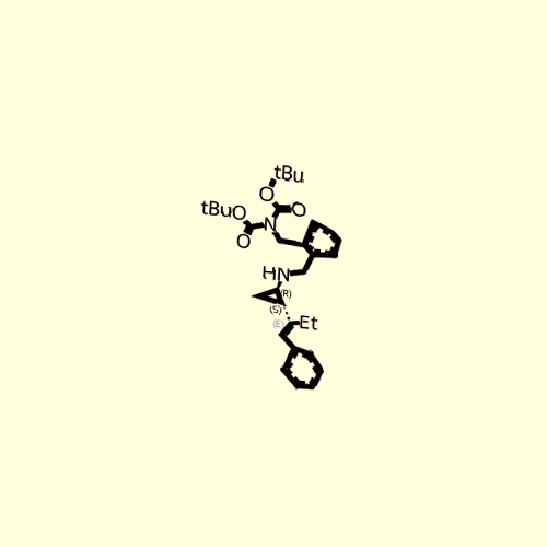 CC/C(=C\c1ccccc1)[C@@H]1C[C@H]1NCc1ccccc1CN(C(=O)OC(C)(C)C)C(=O)OC(C)(C)C